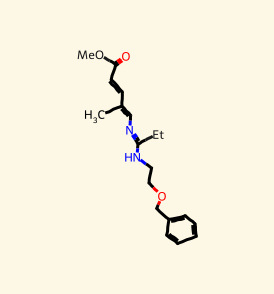 CC\C(=N/C=C(C)/C=C/C(=O)OC)NCCOCc1ccccc1